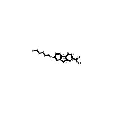 CCCCCCOc1ccc2c(c1)Cc1cc(C(=O)O)ccc1-2